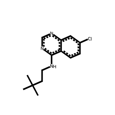 CC(C)(C)CCNc1ncnc2cc(Cl)ccc12